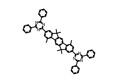 Cc1cc(-c2nc(-c3ccccc3)nc(-c3ccccc3)n2)cc2c1-c1cc3c(cc1C2(C)C)-c1c(C)cc(-c2nc(-c4ccccc4)nc(-c4ccccc4)n2)cc1C3(C)C